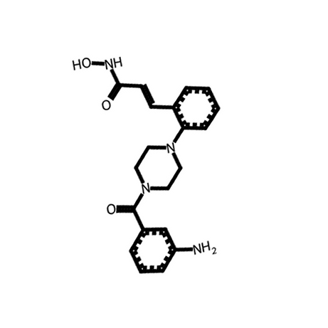 Nc1cccc(C(=O)N2CCN(c3ccccc3/C=C/C(=O)NO)CC2)c1